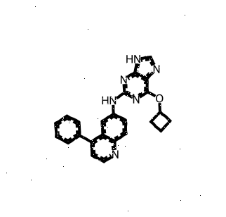 c1ccc(-c2ccnc3ccc(Nc4nc(OC5CCC5)c5nc[nH]c5n4)cc23)cc1